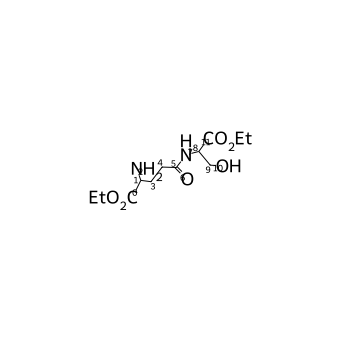 CCOC(=O)C(N)CCC(=O)NC(CO)C(=O)OCC